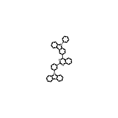 c1ccc(-n2c3ccccc3c3cc(-c4nc(-c5cccc(-n6c7ccccc7c7ccccc76)c5)nc5ccccc45)ccc32)cc1